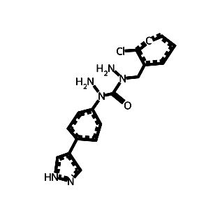 NN(Cc1ccccc1Cl)C(=O)N(N)c1ccc(-c2cn[nH]c2)cc1